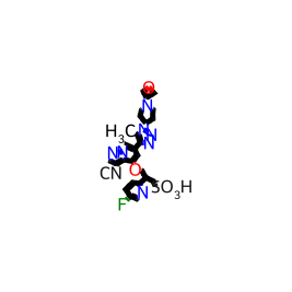 Cc1c(-c2cc(OCC(CS(=O)(=O)O)c3ccc(F)cn3)c3c(C#N)cnn3c2)nnn1C1CCN(C2COC2)CC1